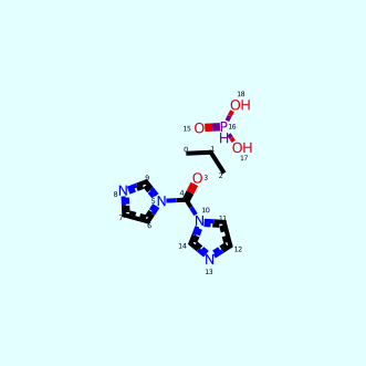 CCC.O=C(n1ccnc1)n1ccnc1.O=[PH](O)O